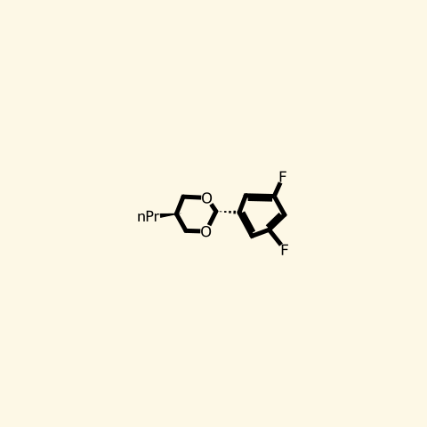 CCC[C@H]1CO[C@H](c2cc(F)cc(F)c2)OC1